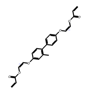 C=CC(=O)O/C=C\Oc1ccc(-c2ccc(O/C=C\OC(=O)C=C)cc2C)cc1